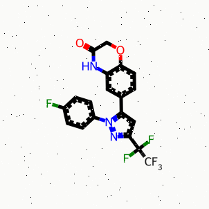 O=C1COc2ccc(-c3cc(C(F)(F)C(F)(F)F)nn3-c3ccc(F)cc3)cc2N1